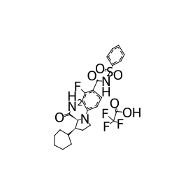 NC(=O)[C@@H]1[C@H](C2CCCCC2)CCN1c1ccc(C(=O)NS(=O)(=O)c2ccccc2)c(F)c1.O=C(O)C(F)(F)F